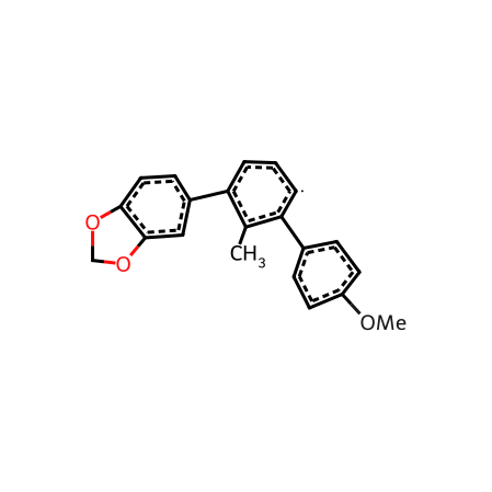 COc1ccc(-c2[c]ccc(-c3ccc4c(c3)OCO4)c2C)cc1